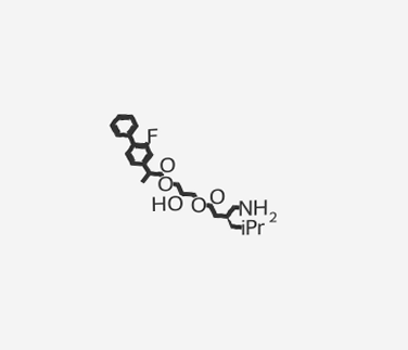 CC(C)C[C@H](CN)CC(=O)OCC(O)COC(=O)C(C)c1ccc(-c2ccccc2)c(F)c1